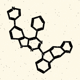 c1ccc(-c2nc(-n3c4ccccc4c4cc5ccccc5cc43)nc3sc4ccc(-c5ccncc5)cc4c23)cc1